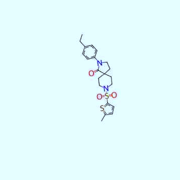 CCc1ccc(N2CCC3(CCN(S(=O)(=O)c4ccc(C)s4)CC3)C2=O)cc1